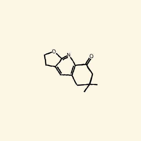 CC1(C)CC(=O)c2nc3c(cc2C1)CCO3